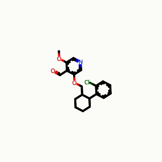 COc1cncc(OCC2CCCCC2c2ccccc2Cl)c1C=O